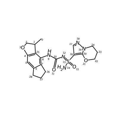 CC1COc2cc3c(c(NC(=O)N=S(N)(=O)c4cnn5c4OCCC5)c21)CCC3